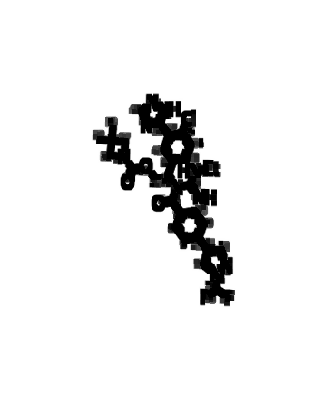 CCNC(=N)N(C(=O)c1ccc(-c2cnn(C(F)F)c2)cc1)[C@H](COC(=O)N1CC(C)(C)C1)c1ccc(Cl)c(-c2ncn[nH]2)c1